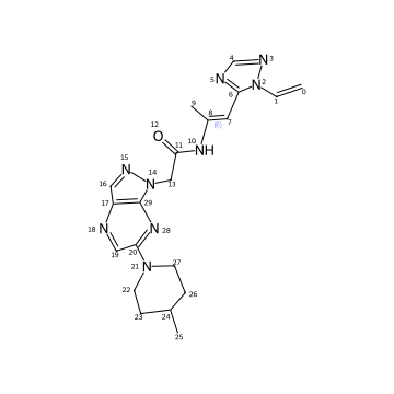 C=Cn1ncnc1/C=C(\C)NC(=O)Cn1ncc2ncc(N3CCC(C)CC3)nc21